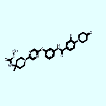 CC1(NC(=O)OC(C)(C)C)CCN(c2cnc(Sc3cccc(NC(=O)c4ccc(N5CCC(=O)CC5)c(F)c4)c3)cn2)CC1